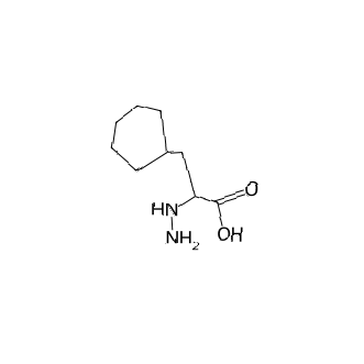 NNC(CC1CCCCC1)C(=O)O